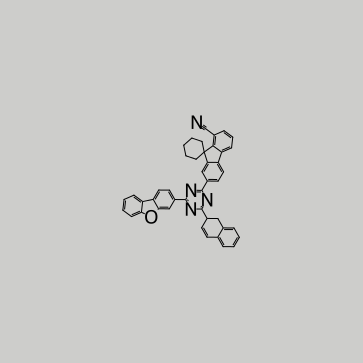 N#Cc1cccc2c1C1(CCCCC1)c1cc(-c3nc(-c4ccc5c(c4)oc4ccccc45)nc(C4C=Cc5ccccc5C4)n3)ccc1-2